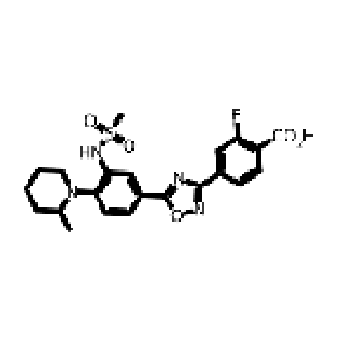 CC1CCCCN1c1ccc(-c2nc(-c3ccc(C(=O)O)c(F)c3)no2)cc1NS(C)(=O)=O